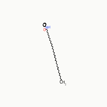 CCCCCCCCCCCCCCCCCCCCCCCCCCCCCCCCCCCCC(=O)Nc1ccccc1